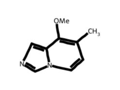 COc1c(C)ccn2cncc12